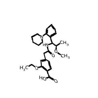 CCOc1cc(CC(=O)NC(c2ccccc2N2CCCCC2)C(C)OC)ccc1C(=O)O